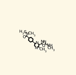 CNc1nnc(-c2nc(-c3ccc(C(=O)N(C)C)cc3)cnc2C)o1